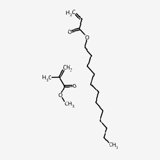 C=C(C)C(=O)OC.C=CC(=O)OCCCCCCCCCCCC